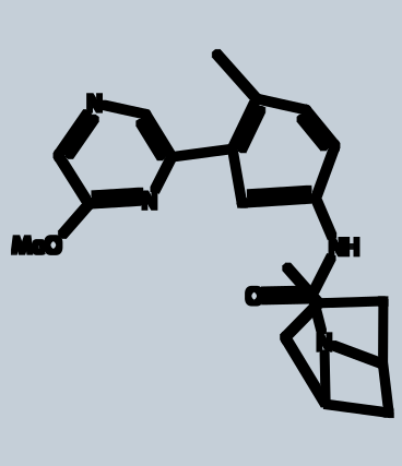 COc1cncc(-c2cc(NC(=O)N3C4CC(C)CC3C4)ccc2C)n1